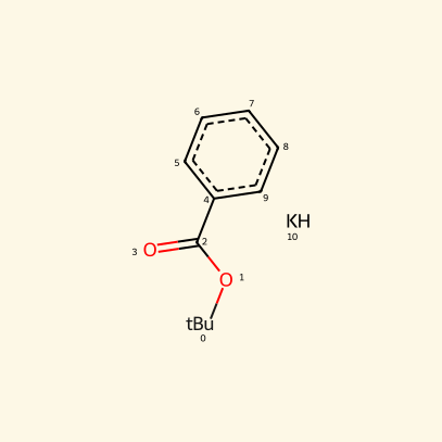 CC(C)(C)OC(=O)c1ccccc1.[KH]